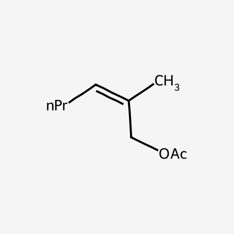 CCCC=C(C)COC(C)=O